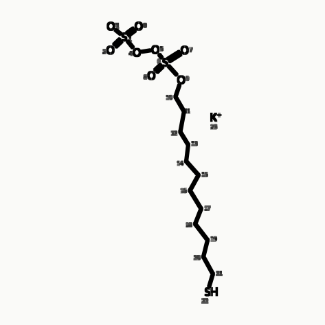 O=S(=O)([O-])OOS(=O)(=O)OCCCCCCCCCCCCS.[K+]